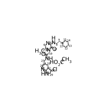 CC(=O)O.Cc1cnc(NCCc2ccccc2)c(=O)n1CC(=O)NCc1cnc2[nH]cc(Cl)c2c1